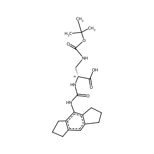 CC(C)(C)OC(=O)NC[C@@H](NC(=O)Nc1c2c(cc3c1CCC3)CCC2)C(=O)O